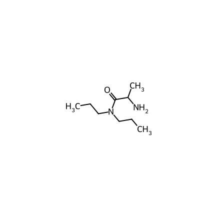 CCCN(CCC)C(=O)C(C)N